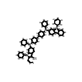 C/C=C\c1c(CC)c2ccc(N(c3ccccc3)c3ccc(-c4ccc(N(c5ccccc5)c5ccc6c7ccccc7n(C7C=CC=CC7)c6c5)cc4)cc3)cc2n1-c1ccccc1